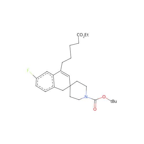 CCOC(=O)CCCCC1=CC2(CCN(C(=O)OC(C)(C)C)CC2)Cc2ccc(F)cc21